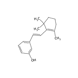 CC1=C(C=Cc2cccc(O)c2)C(C)(C)CCC1